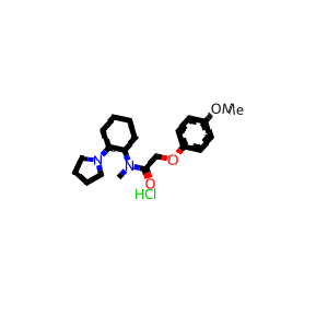 COc1ccc(OCC(=O)N(C)C2CCCCC2N2CCCC2)cc1.Cl